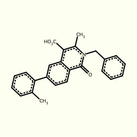 Cc1ccccc1-c1ccc2c(=O)n(Cc3ccccc3)c(C)c(C(=O)O)c2c1